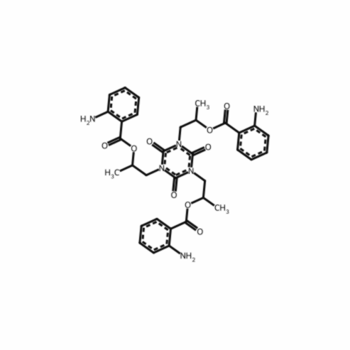 CC(Cn1c(=O)n(CC(C)OC(=O)c2ccccc2N)c(=O)n(CC(C)OC(=O)c2ccccc2N)c1=O)OC(=O)c1ccccc1N